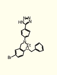 CCN(Cc1cc(Br)ccc1OCc1ccccc1)c1ccc(-c2nnn[nH]2)cc1